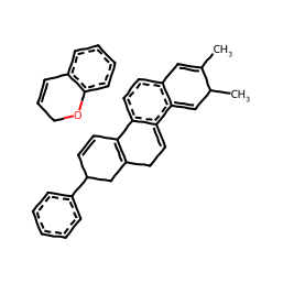 C1=Cc2ccccc2OC1.CC1=Cc2ccc3c(c2=CC1C)=CCC1=C3C=CC(c2ccccc2)C1